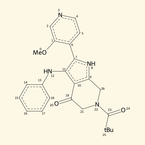 COc1cnccc1-c1[nH]c2c(c1Nc1ccccc1)C(=O)CN(C(=O)C(C)(C)C)C2